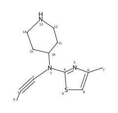 CC#CN(c1nc(C)cs1)C1CCNCC1